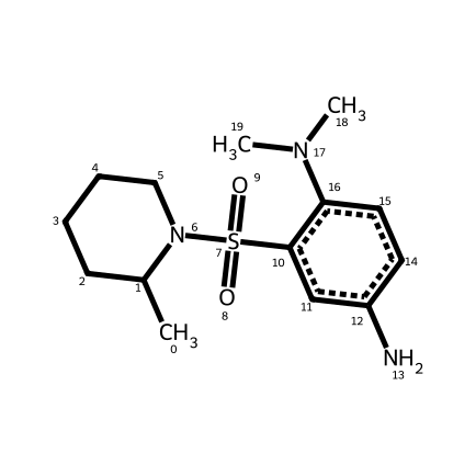 CC1CCCCN1S(=O)(=O)c1cc(N)ccc1N(C)C